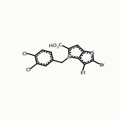 CCc1c(Br)sc2cc(C(=O)O)n(Cc3ccc(Cl)c(Cl)c3)c12